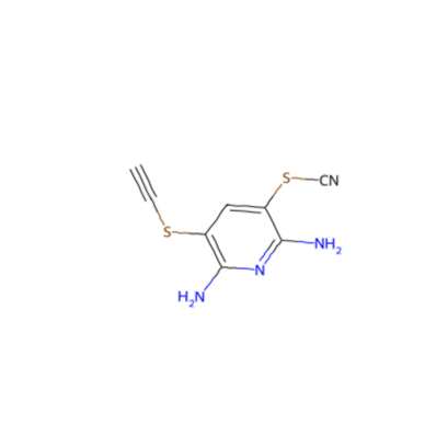 C#CSc1cc(SC#N)c(N)nc1N